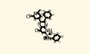 Cc1cc(-c2nc3c(=O)cc(S(=O)(=O)Nc4ccccc4)[nH]c3nc2-c2ccccc2)cc(Cl)n1